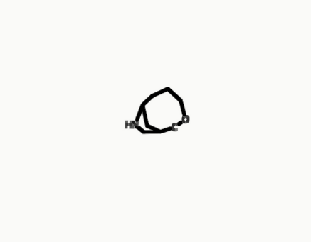 C1COCC2CNC(C1)C2